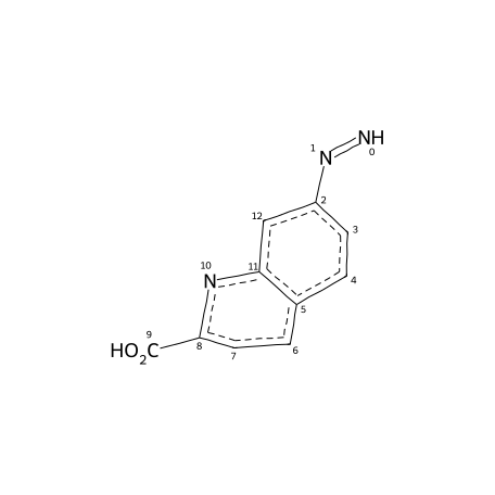 N=Nc1ccc2ccc(C(=O)O)nc2c1